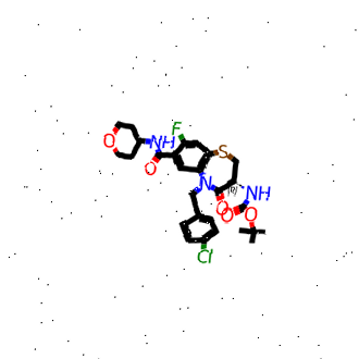 CC(C)(C)OC(=O)N[C@H]1CSc2cc(F)c(C(=O)NC3CCOCC3)cc2N(Cc2ccc(Cl)cc2)C1=O